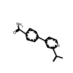 CC(C)c1cc(-c2ccc(C(N)=O)cc2)ccn1